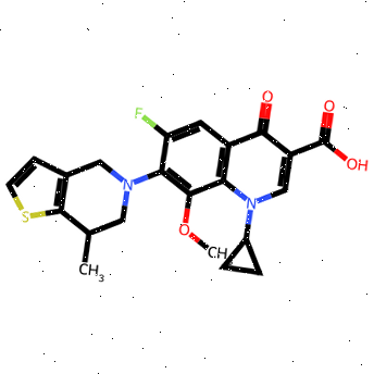 COc1c(N2Cc3ccsc3C(C)C2)c(F)cc2c(=O)c(C(=O)O)cn(C3CC3)c12